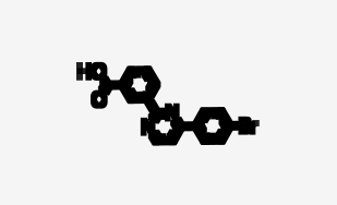 O=C(O)c1cccc(-c2nccc(-c3ccc(Br)cc3)n2)c1